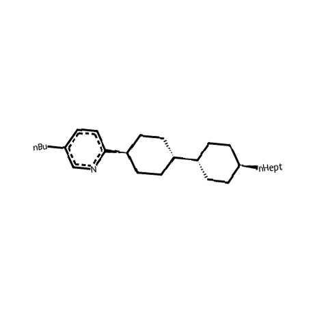 CCCCCCC[C@H]1CC[C@H]([C@H]2CC[C@H](c3ccc(CCCC)cn3)CC2)CC1